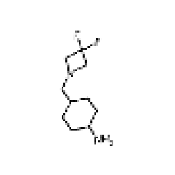 NC1CCC(CN2CC(F)(F)C2)CC1